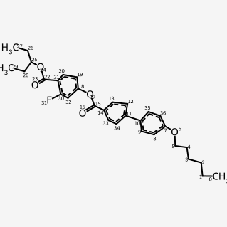 CCCCCCOc1ccc(-c2ccc(C(=O)Oc3ccc(C(=O)OC(CC)CC)c(F)c3)cc2)cc1